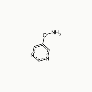 NOc1cncnc1